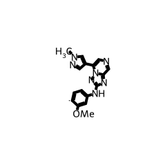 COc1[c]ccc(Nc2nc3cncc(-c4cnn(C)c4)n3n2)c1